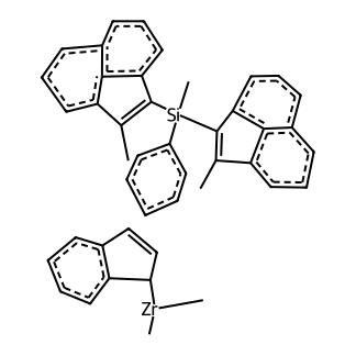 CC1=C([Si](C)(C2=C(C)c3cccc4cccc2c34)c2ccccc2)c2cccc3cccc1c23.[CH3][Zr]([CH3])[CH]1C=Cc2ccccc21